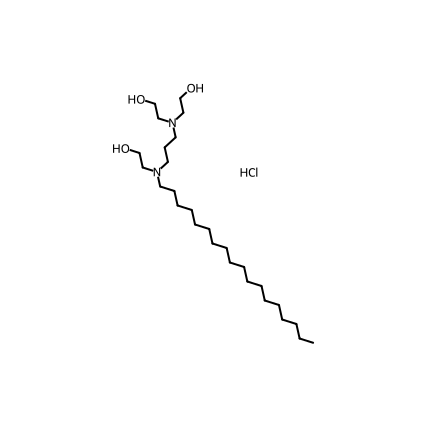 CCCCCCCCCCCCCCCCCCN(CCO)CCCN(CCO)CCO.Cl